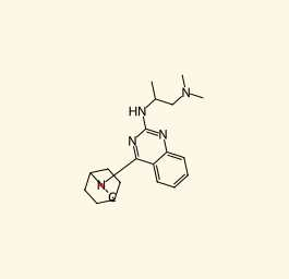 CC(CN(C)C)Nc1nc(N2CC3CCC(CC3)C2)c2ccccc2n1